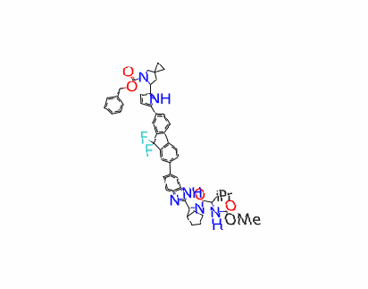 COC(=O)NC(C(=O)N1C2CCC(C2)C1c1nc2ccc(-c3ccc4c(c3)C(F)(F)c3cc(-c5ccc(C6CC7(CC7)CN6C(=O)OCc6ccccc6)[nH]5)ccc3-4)cc2[nH]1)C(C)C